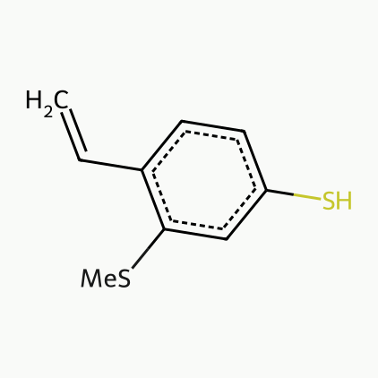 C=Cc1ccc(S)cc1SC